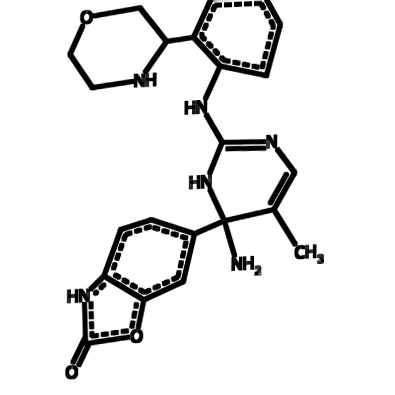 CC1=CN=C(Nc2ccccc2C2COCCN2)NC1(N)c1ccc2[nH]c(=O)oc2c1